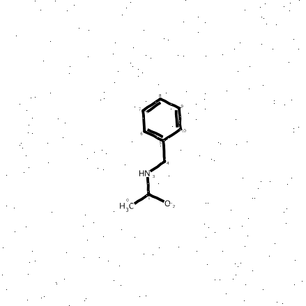 CC([O])NCc1ccccc1